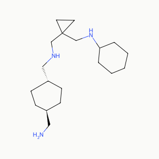 NC[C@H]1CC[C@H](CNCC2(CNC3CCCCC3)CC2)CC1